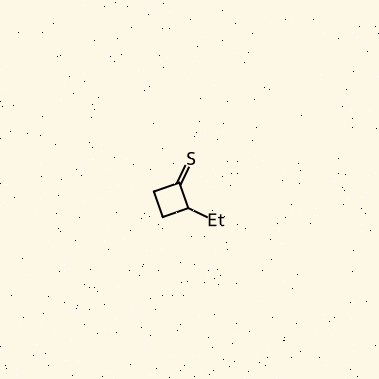 [CH2]CC1CCC1=S